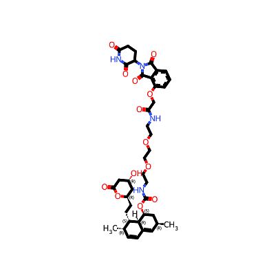 C[C@H]1C=C2C=C[C@H](C)[C@H](CC[C@@H]3C[C@@H](O)CC(=O)O3)[C@H]2[C@@H](OC(=O)NCCOCCOCCNC(=O)COc2cccc3c2C(=O)N(C2CCC(=O)NC2=O)C3=O)C1